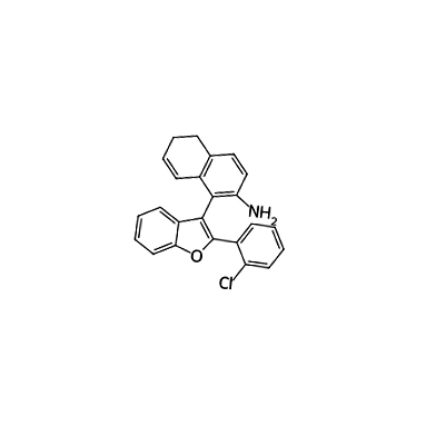 Nc1ccc2c(c1-c1c(-c3ccccc3Cl)oc3ccccc13)C=CCC2